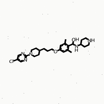 Cc1cc(OCCCC2CCN(c3ncc(Cl)cn3)CC2)cc(C)c1C(O)NC1CCNCC1